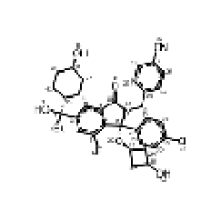 CCC(O)(c1cc(F)c2c(c1)C(=O)N(Cc1ccc(C#N)cn1)[C@@]2(O[C@H]1C[C@@H](O)C1)c1ccc(Cl)cc1)[C@H]1CC[C@H](O)CC1